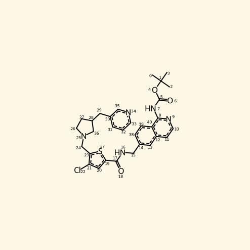 CC(C)(C)OC(=O)Nc1nccc2cc(CNC(=O)c3cc(Cl)c(CN4CCC(Cc5cccnc5)C4)s3)ccc12